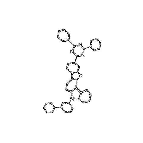 c1ccc(-c2cccc(-n3c4ccccc4c4c5oc6cc(-c7nc(-c8ccccc8)nc(-c8ccccc8)n7)ccc6c5ccc43)c2)cc1